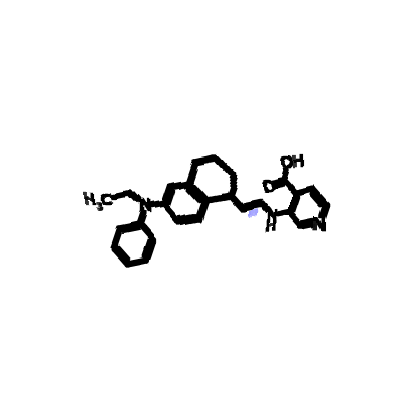 CCN(c1ccccc1)c1ccc2c(c1)CCCC2/C=C/Nc1cnccc1C(=O)O